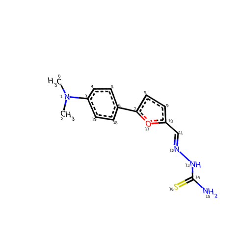 CN(C)c1ccc(-c2ccc(C=NNC(N)=S)o2)cc1